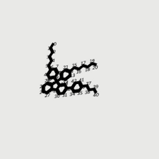 CCCCCCc1ccc(C2(c3ccc(CCCCCC)cc3)c3c[c]ccc3-c3ccc(-c4ccc(CCCC)cc4)cc32)cc1